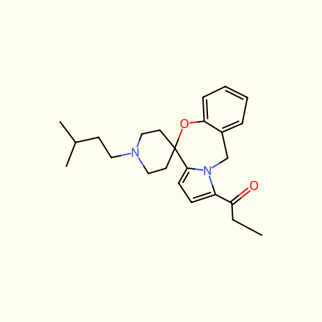 CCC(=O)c1ccc2n1Cc1ccccc1OC21CCN(CCC(C)C)CC1